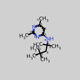 Cc1cc(NC(C)(C)CC(C)(C)C)nc(C)n1